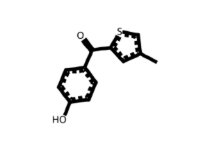 Cc1csc(C(=O)c2ccc(O)cc2)c1